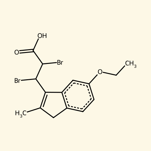 CCOc1ccc2c(c1)C(C(Br)C(Br)C(=O)O)=C(C)C2